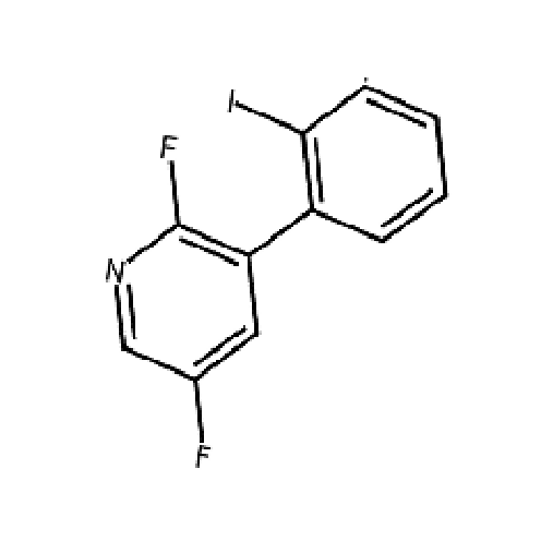 Fc1cnc(F)c(-c2ccc[c]c2I)c1